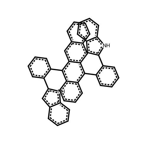 c1ccc(-c2c3ccccc3c(-c3ccccc3-c3cc4ccccc4[nH]3)c3cc4ccccc4cc23)c(-c2cc3ccccc3[nH]2)c1